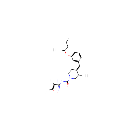 CCCC(C)Oc1cccc(/C=C2\CCN(C(=O)Nc3noc(C)c3C)CC2C)c1